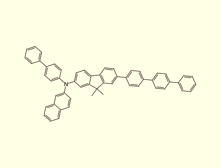 CC1(C)c2cc(-c3ccc(-c4ccc(-c5ccccc5)cc4)cc3)ccc2-c2ccc(N(c3ccc(-c4ccccc4)cc3)c3ccc4ccccc4c3)cc21